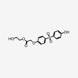 O=C(COc1ccc(S(=O)(=O)c2ccc(O)cc2)cc1)OCCO